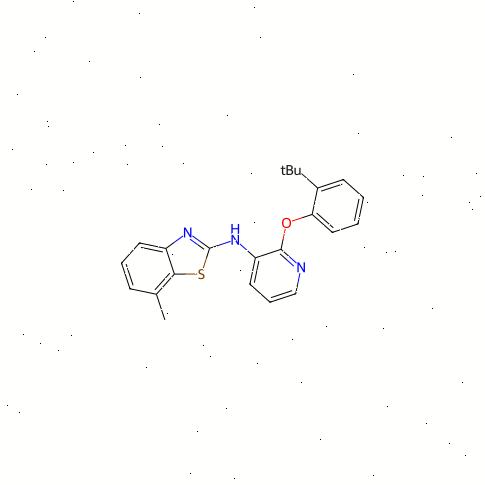 Cc1cccc2nc(Nc3cccnc3Oc3ccccc3C(C)(C)C)sc12